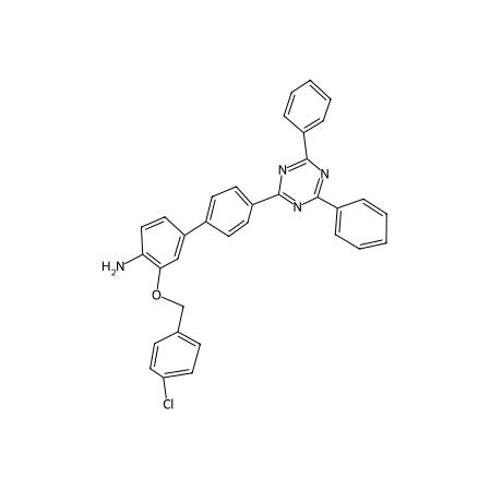 Nc1ccc(-c2ccc(-c3nc(-c4ccccc4)nc(-c4ccccc4)n3)cc2)cc1OCc1ccc(Cl)cc1